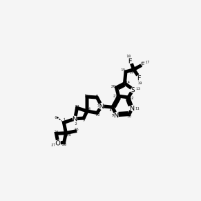 C[C@H](N1CC2(CCN(c3ncnc4sc(CC(F)(F)F)cc34)C2)C1)C1(C)COC1